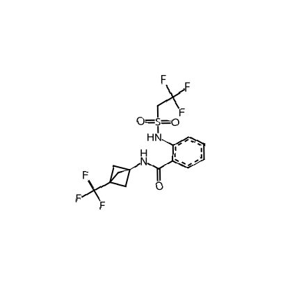 O=C(NC12CC(C(F)(F)F)(C1)C2)c1ccccc1NS(=O)(=O)CC(F)(F)F